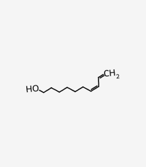 C=C/C=C\CCCCCCO